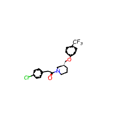 O=C(Cc1ccc(Cl)cc1)N1CCC[C@@H](COc2ccc(C(F)(F)F)cc2)C1